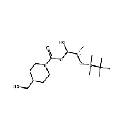 C[C@H](O[Si](C)(C)C(C)(C)C)C(O)OC(=O)N1CCC(CO)CC1